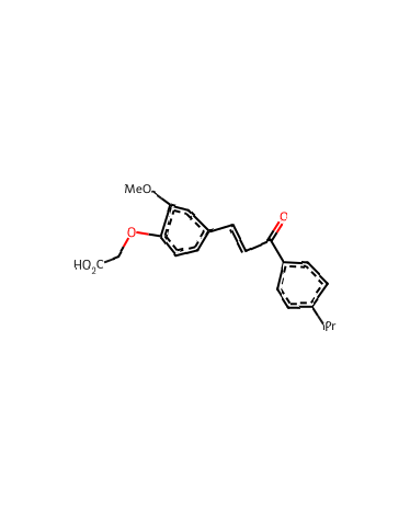 COc1cc(/C=C/C(=O)c2ccc(C(C)C)cc2)ccc1OCC(=O)O